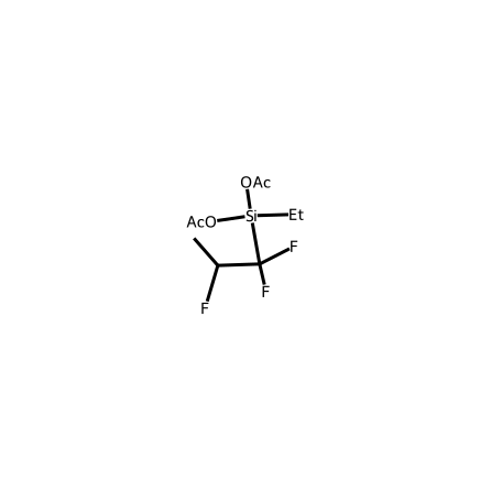 CC[Si](OC(C)=O)(OC(C)=O)C(F)(F)C(C)F